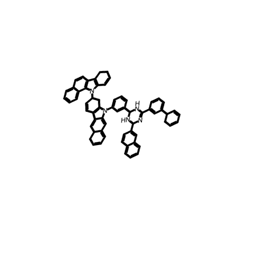 C1=CCC2C=c3c4c(n(-c5cccc(C6NC(c7cccc(C8C=CC=CC8)c7)=NC(c7ccc8ccccc8c7)N6)c5)c3=CC2=C1)CC(n1c2c(c3ccc5ccccc5c31)CCC=C2)C=C4